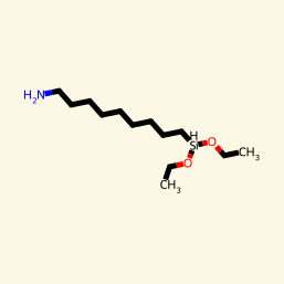 CCO[SiH](CCCCCCCCCN)OCC